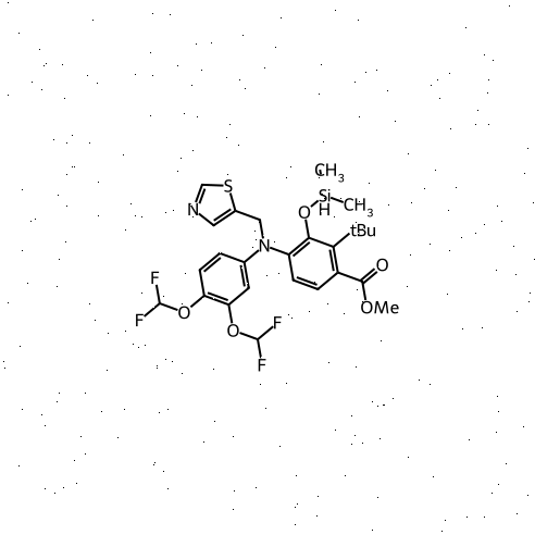 COC(=O)c1ccc(N(Cc2cncs2)c2ccc(OC(F)F)c(OC(F)F)c2)c(O[SiH](C)C)c1C(C)(C)C